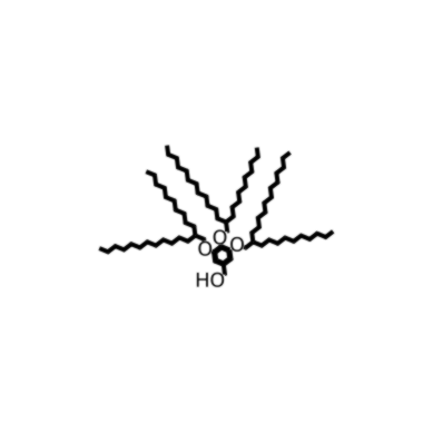 CCCCCCCCCCCCC(CCCCCCCCCC)COc1cc(CO)cc(OCC(CCCCCCCCCC)CCCCCCCCCCCC)c1OCC(CCCCCCCCCC)CCCCCCCCCCCC